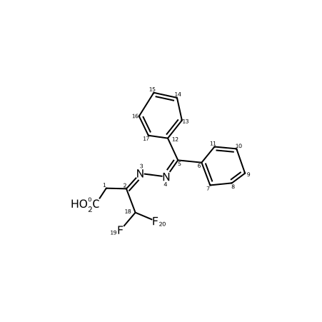 O=C(O)CC(=NN=C(c1ccccc1)c1ccccc1)C(F)F